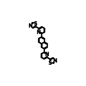 c1cc(-c2ccc3cc(-c4cccc(-c5cncs5)n4)ccc3c2)nc(-c2cncs2)c1